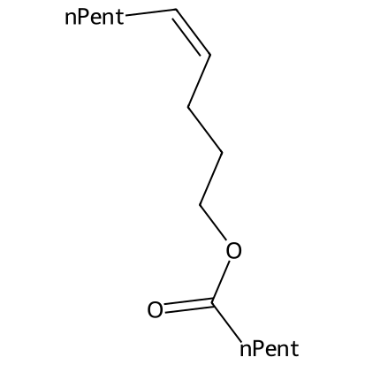 CCCCC/C=C\CCCOC(=O)CCCCC